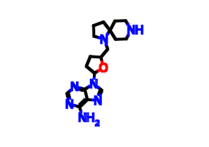 Nc1ncnc2c1ncn2C1CCC(CN2CCCC23CCNCC3)O1